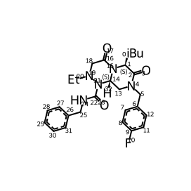 CCC(C)[C@H]1C(=O)N(Cc2ccc(F)cc2)C[C@H]2N1C(=O)CN(CC)N2C(=O)NCc1ccccc1